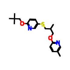 Cc1ccc(OCC(C)CSc2ccc(OCC(C)(C)C)nc2)nc1